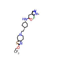 Cn1ncc(CC(=O)N[C@H]2CC[C@H](CCN3CCc4nc(OCC(F)(F)F)sc4CC3)CC2)c1F